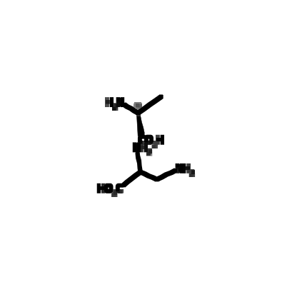 C[C@H](N)C(=O)O.NCC(N)C(=O)O